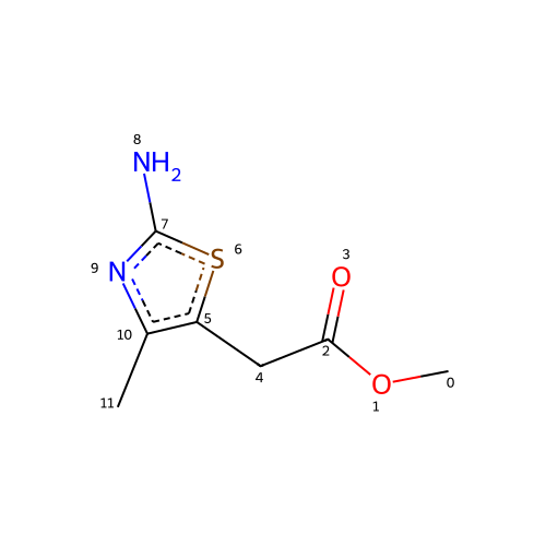 COC(=O)Cc1sc(N)nc1C